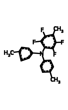 Cc1ccc(N(c2ccc(C)cc2)c2c(F)c(F)c(C)c(F)c2F)cc1